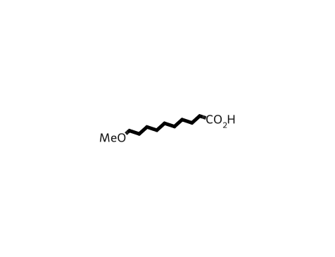 COCCCCCCCCCC(=O)O